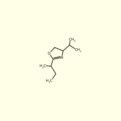 CCC(C)C1=NC(C(C)C)CO1